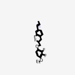 C/C=C/c1ccc(CC(F)COc2ccc(OCC)c(F)c2F)c(F)c1